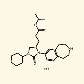 CC(C)OC(=O)CCC1CN(C2CCCCC2)C(=O)N1c1ccc2c(c1)CCNCC2.Cl